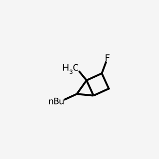 CCCCC1C2CC(F)C12C